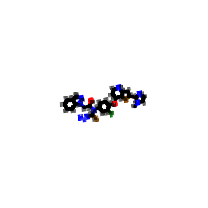 Cn1ccnc1-c1cc2nccc(Oc3ccc(N(C(=O)Cn4ncc5ccccc54)C(N)=S)cc3F)c2s1